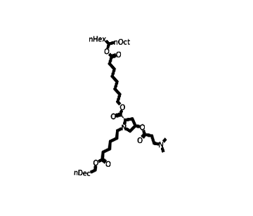 CCCCCCCCCCCOC(=O)CCCCCN1CC(OC(=O)CCN(C)C)C[C@H]1C(=O)OCCCCCCCC(=O)OC(CCCCCC)CCCCCCCC